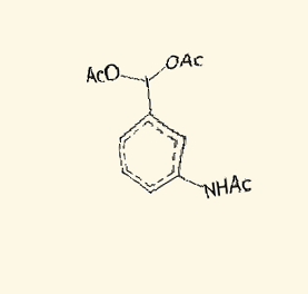 CC(=O)Nc1cccc(I(OC(C)=O)OC(C)=O)c1